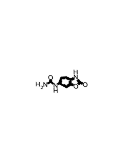 NC(=O)Nc1ccc2[nH]c(=O)oc2c1